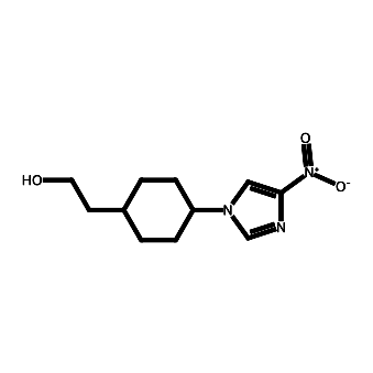 O=[N+]([O-])c1cn(C2CCC(CCO)CC2)cn1